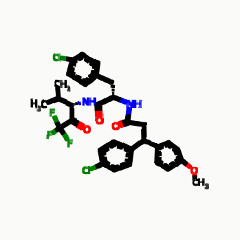 COc1ccc(C(CC(=O)N[C@@H](Cc2ccc(Cl)cc2)C(=O)N[C@H](C(=O)C(F)(F)F)C(C)C)c2ccc(Cl)cc2)cc1